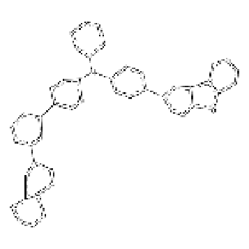 c1ccc(N(c2ccc(-c3cccc(-c4ccc5ccccc5c4)c3)cc2)c2ccc(-c3ccc4oc5ccccc5c4c3)cc2)cc1